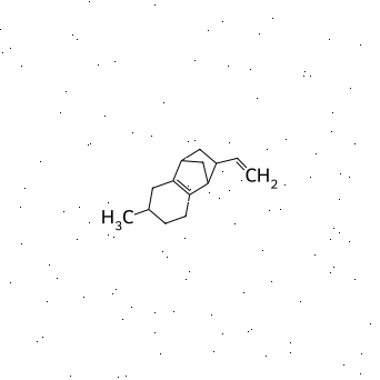 C=CC1CC2CC1C1=C2CC(C)CC1